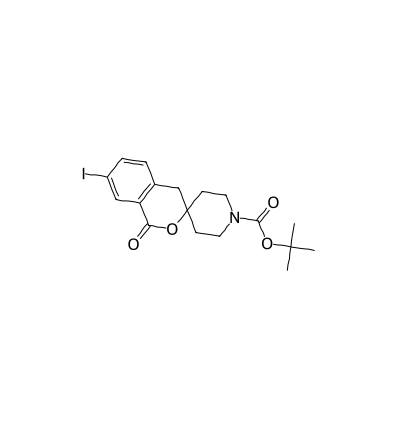 CC(C)(C)OC(=O)N1CCC2(CC1)Cc1ccc(I)cc1C(=O)O2